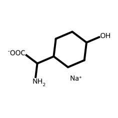 NC(C(=O)[O-])C1CCC(O)CC1.[Na+]